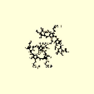 C=CC1=C(C)/C(=C/c2[nH]c(Cc3[nH]c(/C=C4\NC(=O)C(C)=C4C=C)c(C)c3CCC(=O)O)c(CCC(=O)O)c2C)NC1=O.C=CC1=C(C)C2=NC/1=C\c1c(C)c(C=C)c3[n]1[Fe][n]1/c(c(C)c(CCC(=O)O)/c1=C/C1=NC(=C\3)/C(C)=C1CCC(=O)O)=C\2